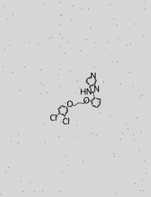 Clc1ccc(OCCCOc2ccccc2-c2nc3cnccc3[nH]2)cc1Cl